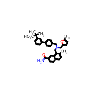 Cc1ccc2ccc(C(N)=O)cc2c1CN(Cc1ccc(-c2cccc(C(C)(C)C(=O)O)c2)cc1)Cc1ccc(C(F)(F)F)o1